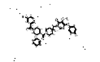 Nc1c(Oc2ccc(F)cc2)ncn(CC2(O)CCN(C(=O)[C@@H]3CCN(C(=O)c4cncc(Br)c4)C[C@H]3c3ccccc3)CC2)c1=O